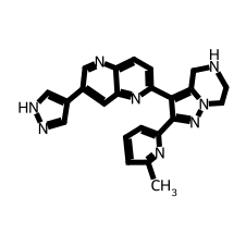 Cc1cccc(-c2nn3c(c2-c2ccc4ncc(-c5cn[nH]c5)cc4n2)CNCC3)n1